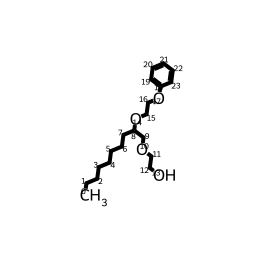 CCCCCCCCC(COCCO)OCCOc1ccccc1